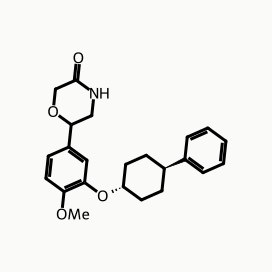 COc1ccc(C2CNC(=O)CO2)cc1O[C@H]1CC[C@H](c2ccccc2)CC1